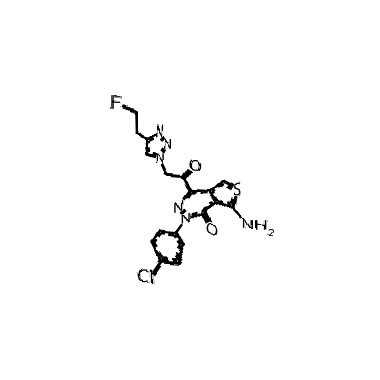 Nc1scc2c(C(=O)Cn3cc(CCF)nn3)nn(-c3ccc(Cl)cc3)c(=O)c12